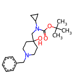 CC(C)(C)OC(=O)N(CC1(O)CCN(Cc2ccccc2)CC1)C1CC1